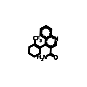 NC(=O)c1cnc2ccccc2c1C1=C(C(F)(F)F)CCCC1